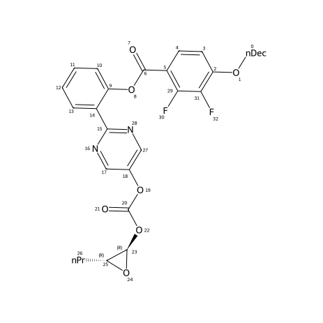 CCCCCCCCCCOc1ccc(C(=O)Oc2ccccc2-c2ncc(OC(=O)O[C@H]3O[C@@H]3CCC)cn2)c(F)c1F